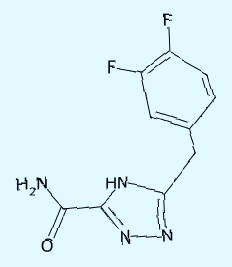 NC(=O)c1nnc(Cc2ccc(F)c(F)c2)[nH]1